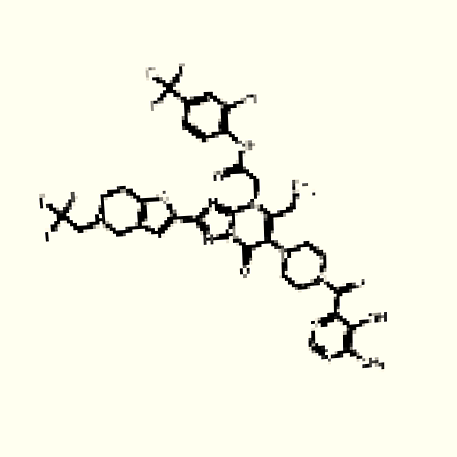 CCc1c(N2CCN(C(=O)c3ncnc(C)c3O)CC2)c(=O)n2nc(-c3cc4c(s3)CCN(CC(F)(F)F)C4)nc2n1CC(=O)Nc1ccc(C(F)(F)F)cc1Cl